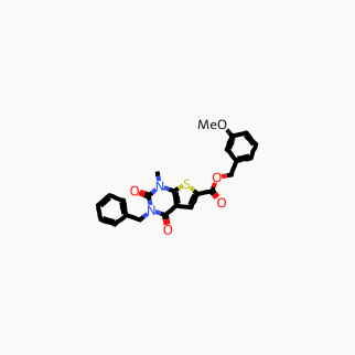 COc1cccc(COC(=O)c2cc3c(=O)n(Cc4ccccc4)c(=O)n(C)c3s2)c1